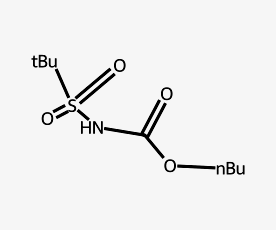 CCCCOC(=O)NS(=O)(=O)C(C)(C)C